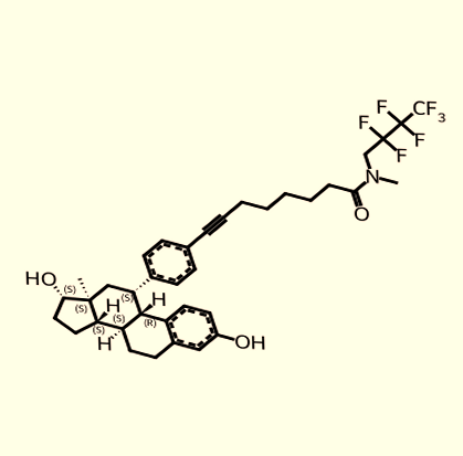 CN(CC(F)(F)C(F)(F)C(F)(F)F)C(=O)CCCCCC#Cc1ccc([C@H]2C[C@]3(C)[C@@H](O)CC[C@H]3[C@@H]3CCc4cc(O)ccc4[C@H]32)cc1